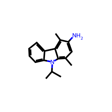 Cc1c(N)cc(C)c2c1c1ccccc1n2C(C)C